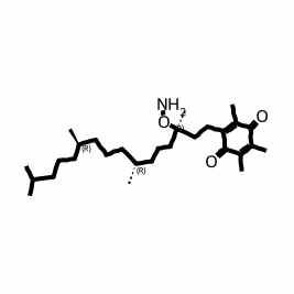 CC1=C(C)C(=O)C(CC[C@@](C)(CCC[C@H](C)CCC[C@H](C)CCCC(C)C)ON)=C(C)C1=O